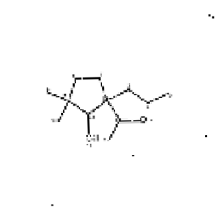 CCCC1(C(C)=O)CCC(C)(C)C1O